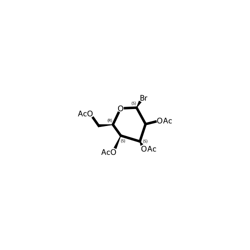 CC(=O)OC[C@H]1O[C@@H](Br)C(OC(C)=O)[C@@H](OC(C)=O)[C@H]1OC(C)=O